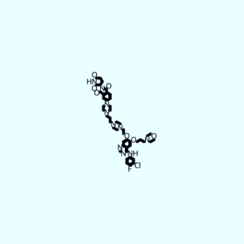 O=C1CCC(N2C(=O)c3ccc(N4CCN(CCCN5CCN(CCOc6cc7ncnc(Nc8ccc(F)c(Cl)c8)c7cc6OCCCN6CCOCC6)CC5)CC4)cc3C2=O)C(=O)N1